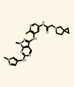 Cc1ncc(NC(=O)CN2CCC3(CC3)C2)cc1Nc1nn(C)c2nc(Nc3cnn(C)c3)ncc12